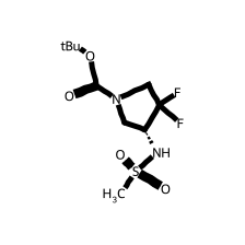 CC(C)(C)OC(=O)N1C[C@@H](NS(C)(=O)=O)C(F)(F)C1